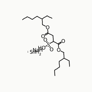 CCCCC(CC)COC(=O)CC(C(=O)OCC(CC)CCCC)S(=O)(=O)O.[NaH].[SnH2]